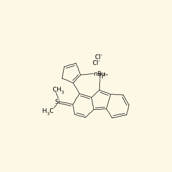 CCCCC1=C(c2c3c(ccc2=[Si](C)C)=c2ccccc2=[C]3[Ti+2])CC=C1.[Cl-].[Cl-]